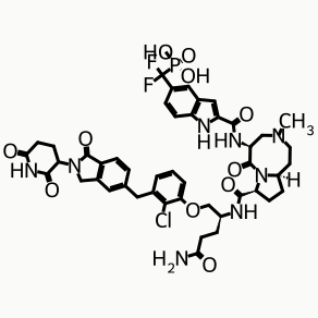 CN1CC[C@H]2CC[C@@H](C(=O)N[C@@H](CCC(N)=O)COc3cccc(Cc4ccc5c(c4)CN(C4CCC(=O)NC4=O)C5=O)c3Cl)N2C(=O)[C@@H](NC(=O)c2cc3cc(C(F)(F)P(=O)(O)O)ccc3[nH]2)C1